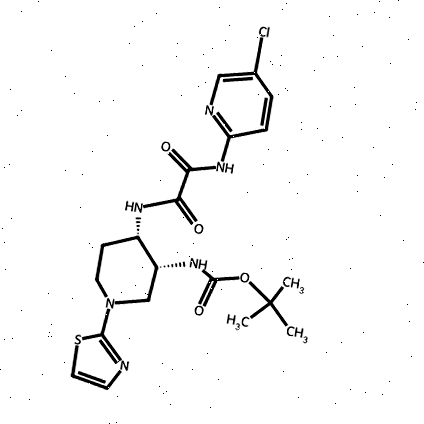 CC(C)(C)OC(=O)N[C@@H]1CN(c2nccs2)CC[C@@H]1NC(=O)C(=O)Nc1ccc(Cl)cn1